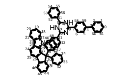 c1ccc(-c2ccc(C3=NC(c4cccc(-n5c6ccccc6c6ccc7c(c65)C(c5ccccc5)(c5ccccc5)c5ccccc5-7)c4)NC(c4ccccc4)N3)cc2)cc1